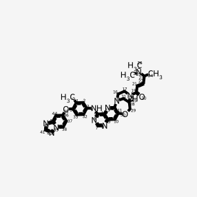 Cc1cc(Nc2ncnc3cc4c(nc23)N2CCN(C(=O)/C=C/C(C)N(C)C)[C@H](CO4)C2)ccc1Oc1ccn2ncnc2c1